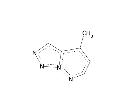 Cc1ccnn2nncc12